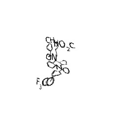 Cc1ccc(C(=O)N(CCCC(=O)O)C2c3ccccc3N(C(=O)c3ccc(OC(F)(F)F)cc3)C3CCCC23)cc1